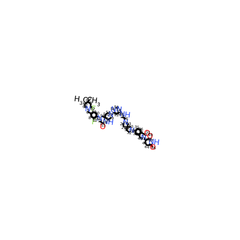 CC1(C)CCN(Cc2cc(F)c(N3CC(=O)NC4(CCN(c5cc(NCCN6CC[C@]7(CCN(c8ccc9c(c8)CN(C8CCC(=O)NC8=O)C9=O)C7)C6)ncn5)CC4)C3)cc2F)CC1